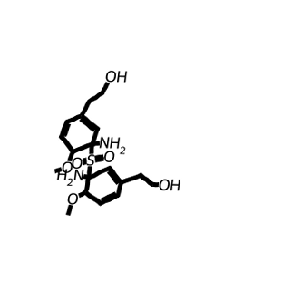 COC1C=CC(CCO)=CC1(N)S(=O)(=O)C1(N)C=C(CCO)C=CC1OC